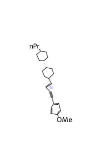 CCC[C@H]1CC[C@H](C2CCC(/C=C/C#Cc3ccc(OC)cc3)CC2)CC1